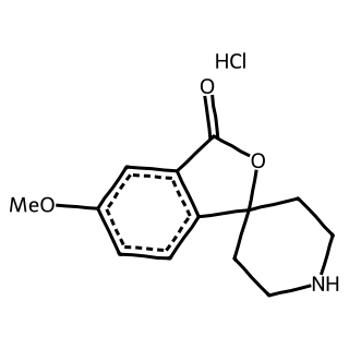 COc1ccc2c(c1)C(=O)OC21CCNCC1.Cl